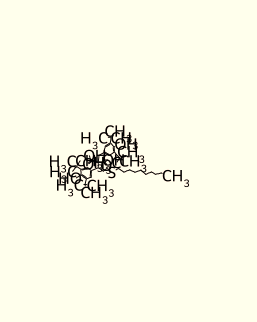 CCCCCCCCCCSCCC(c1cc(C(C)(C)C)c(O)c(C(C)(C)C)c1)C(Cc1cc(C(C)(C)C)c(O)c(C(C)(C)C)c1)(C(=O)O)C(=O)O